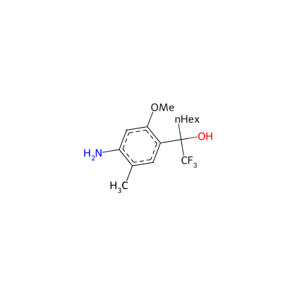 CCCCCCC(O)(c1cc(C)c(N)cc1OC)C(F)(F)F